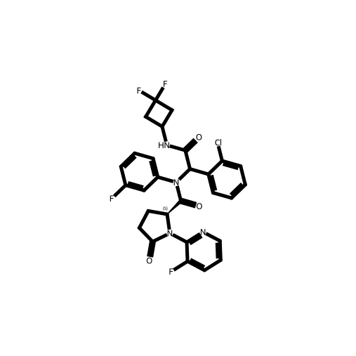 O=C(NC1CC(F)(F)C1)C(c1ccccc1Cl)N(C(=O)[C@@H]1CCC(=O)N1c1ncccc1F)c1cccc(F)c1